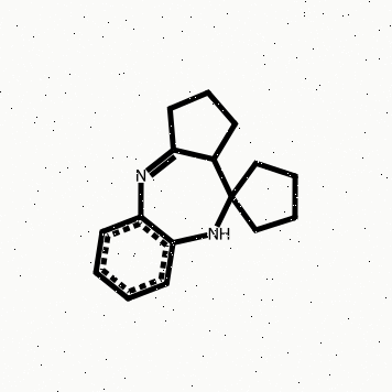 c1ccc2c(c1)N=C1CCCC1C1(CCCC1)N2